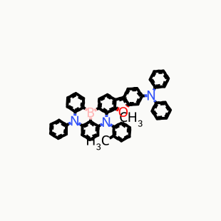 Cc1cccc(C)c1N1c2cccc3c2B(c2ccccc2N3c2ccccc2)c2ccc3c(oc4cc(N(c5ccccc5)c5ccccc5)ccc43)c21